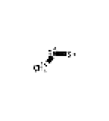 C.[S]=[Re]=[S]